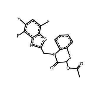 CC(=O)OC1Sc2ccccc2N(Cc2nc3c(F)c(F)cc(F)c3s2)C1=O